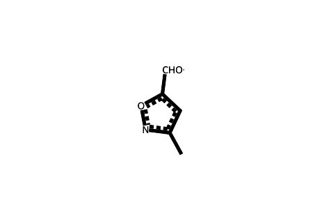 Cc1cc([C]=O)on1